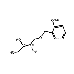 COc1ccccc1COC[C@H](O)[C@H](O)CO